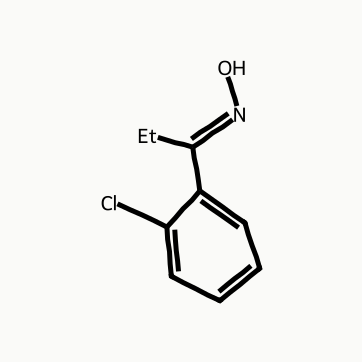 CC/C(=N\O)c1ccccc1Cl